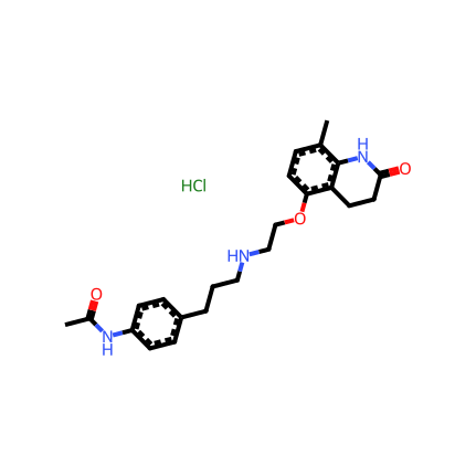 CC(=O)Nc1ccc(CCCNCCOc2ccc(C)c3c2CCC(=O)N3)cc1.Cl